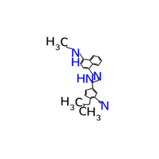 CCCNCc1ccc(C2=NCC(c3ccc(CC(C)C)c(C#N)c3)N2)c2ccccc12